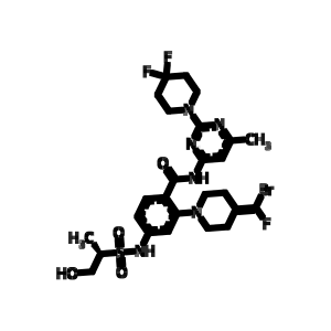 Cc1cc(NC(=O)c2ccc(NS(=O)(=O)[C@H](C)CO)cc2N2CCC(=C(F)Br)CC2)nc(N2CCC(F)(F)CC2)n1